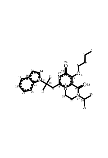 CCCCOc1c2n(c(CC(C)(C)n3ccc4ccccc43)nc1=O)CCN(C(C)C)C2=O